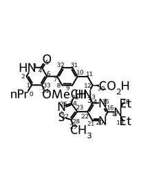 CCCc1c[nH]c(=O)c(-c2ccc(C[C@H](Nc3nc(N(CC)CC)ncc3-c3c(C)nsc3C)C(=O)O)cc2)c1OC